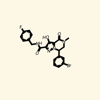 CN1CC(c2cccc(Br)c2)n2nc(C(=O)NCc3ccc(F)cc3)c(O)c2C1=O